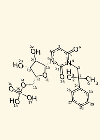 CC(C)(Cn1c(=O)ccn([C@@H]2O[C@H](COP(=O)(O)O)[C@H](O)C2O)c1=O)c1ccccc1